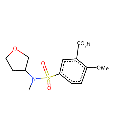 COc1ccc(S(=O)(=O)N(C)C2CCOC2)cc1C(=O)O